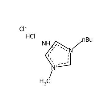 CCCCn1cc[n+](C)c1.Cl.N.[Cl-]